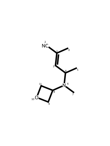 CC(C#N)=CC(C)N(C)C1COC1